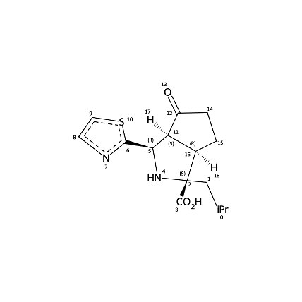 CC(C)C[C@]1(C(=O)O)N[C@@H](c2nccs2)[C@H]2C(=O)CC[C@H]21